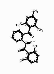 Cc1cc(C)c(C(=O)c2ccccc2[P](=O)C(=O)c2c(Cl)cccc2Cl)c(C)c1